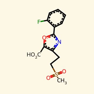 CS(=O)(=O)CCc1nc(-c2ccccc2F)oc1C(=O)O